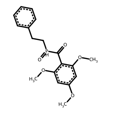 COc1cc(OC)c(C(=O)[PH](=O)CCc2ccccc2)c(OC)c1